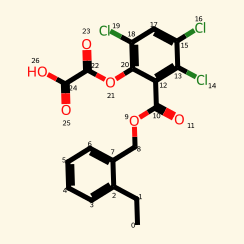 CCc1ccccc1COC(=O)c1c(Cl)c(Cl)cc(Cl)c1OC(=O)C(=O)O